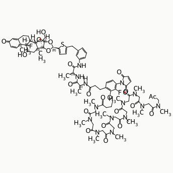 CC(=O)CN(C)C(=O)CN(C)C(=O)CN(C)C(=O)CN(C)C(=O)CN(C)C(=O)CN(C)C(=O)CN(C)C(=O)CN(C)C(=O)CN(C)C(=O)CN(C)C(=O)CCCOc1c(CCC(=O)N[C@@H](C)C(=O)N[C@@H](C)C(=O)Nc2cccc(Cc3ccc([C@@H]4O[C@@H]5C[C@H]6[C@@H]7CCC8=CC(=O)C=C[C@]8(C)[C@@]7(F)[C@@H](O)C[C@]6(C)[C@]5(C(=O)CO)O4)s3)c2)ccc(N2C(=O)C=CC2=O)c1F